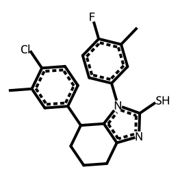 Cc1cc(-n2c(S)nc3c2C(c2ccc(Cl)c(C)c2)CCC3)ccc1F